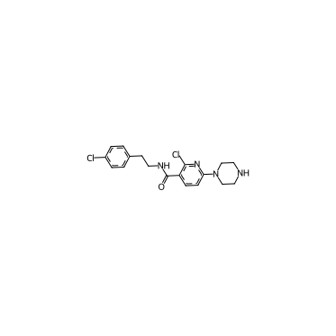 O=C(NCCc1ccc(Cl)cc1)c1ccc(N2CCNCC2)nc1Cl